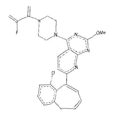 C=C(F)C(=C)N1CCN(c2nc(OC)nc3nc(C4=CC=CCc5cccc(Cl)c54)ccc23)CC1